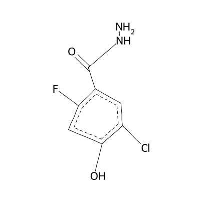 NNC(=O)c1cc(Cl)c(O)cc1F